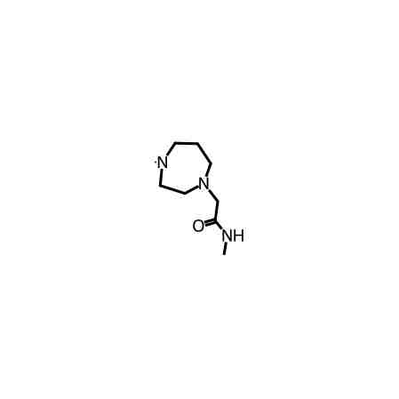 CNC(=O)CN1CCC[N]CC1